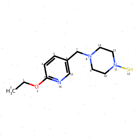 CCOc1ccc(CN2CCN(S)CC2)cn1